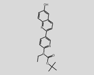 CCN(C(=O)OC(C)(C)C)c1ccc(-c2ccc3cc(O)ccc3n2)cn1